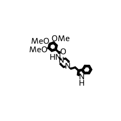 COc1cc(C(=O)NN2CCN(CCc3c[nH]c4ccccc34)CC2)cc(OC)c1OC